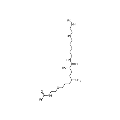 CC(CCCOCCNC(=O)C(C)C)CCC(S)C(=O)NCCCCCNCCNC(C)C